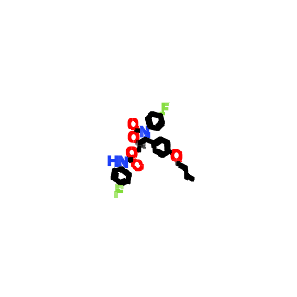 CCCCOc1ccc(C2[C@@H](COC(=O)Nc3ccc(F)cc3)OC(=O)N2c2ccc(F)cc2)cc1